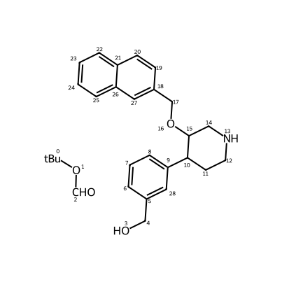 CC(C)(C)OC=O.OCc1cccc(C2CCNCC2OCc2ccc3ccccc3c2)c1